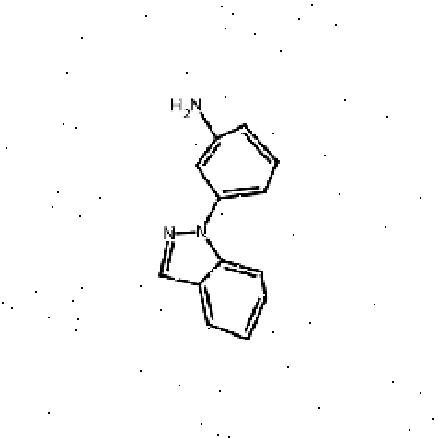 Nc1cccc(-n2ncc3ccccc32)c1